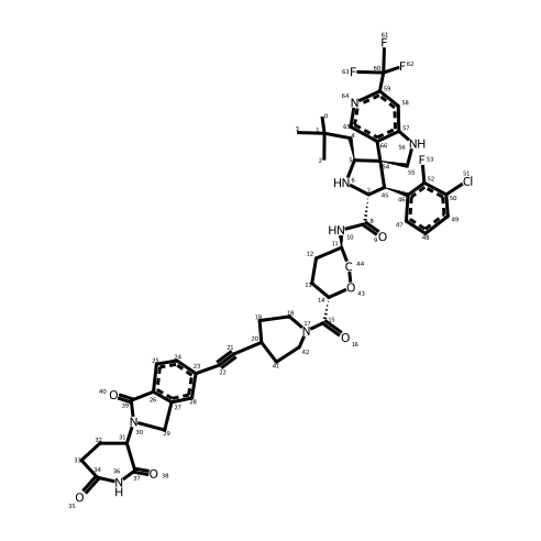 CC(C)(C)C[C@@H]1N[C@@H](C(=O)N[C@@H]2CC[C@@H](C(=O)N3CCC(C#Cc4ccc5c(c4)CN(C4CCC(=O)NC4=O)C5=O)CC3)OC2)[C@H](c2cccc(Cl)c2F)[C@]12CNc1cc(C(F)(F)F)ncc12